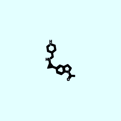 CC(=O)N1CCc2cc(C3CC3NCC3CCNCC3)ccc21